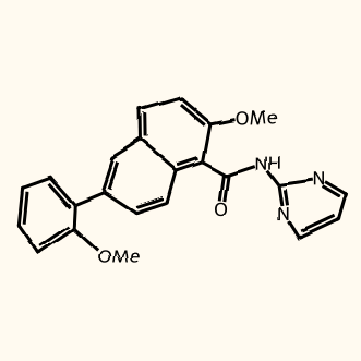 COc1ccccc1-c1ccc2c(C(=O)Nc3ncccn3)c(OC)ccc2c1